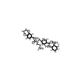 CN(C)CCN(Cc1ccc(C(=O)Nc2ccccc2N)cn1)C(=O)Nc1ccc2c(c1)OCCO2